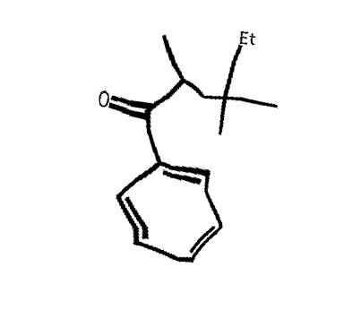 CCC(C)(C)C(C)C(=O)c1ccccc1